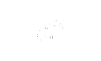 O=S(=O)(NC(CO)C(C(F)(F)F)C(F)(F)F)c1ccc(F)c(F)c1F